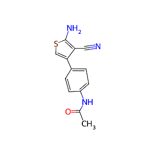 CC(=O)Nc1ccc(-c2csc(N)c2C#N)cc1